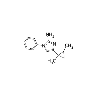 CC1CC1(C)c1cn(-c2ccccc2)c(N)n1